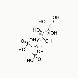 O=P(O)(O)CC(NC[C@H](O)[C@@H](O)[C@H](O)[C@H](O)CO)P(=O)(O)O